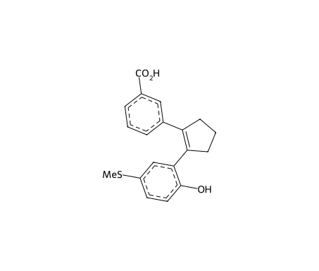 CSc1ccc(O)c(C2=C(c3cccc(C(=O)O)c3)CCC2)c1